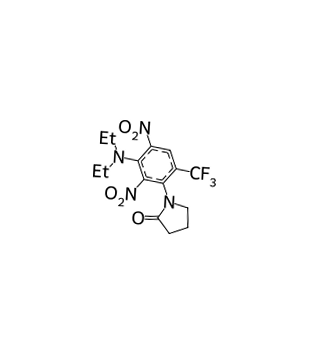 CCN(CC)c1c([N+](=O)[O-])cc(C(F)(F)F)c(N2CCCC2=O)c1[N+](=O)[O-]